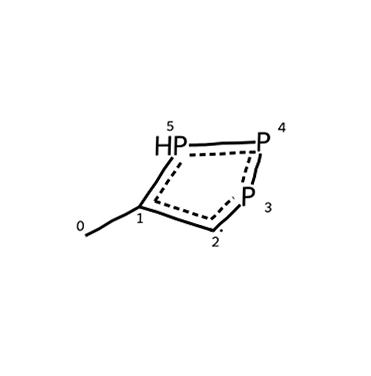 Cc1[c]pp[pH]1